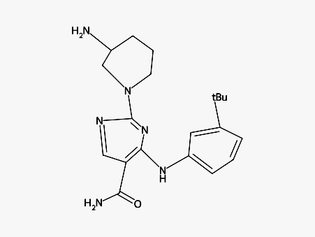 CC(C)(C)c1cccc(Nc2nc(N3CCCC(N)C3)ncc2C(N)=O)c1